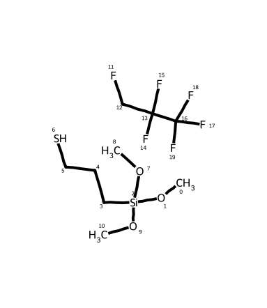 CO[Si](CCCS)(OC)OC.FCC(F)(F)C(F)(F)F